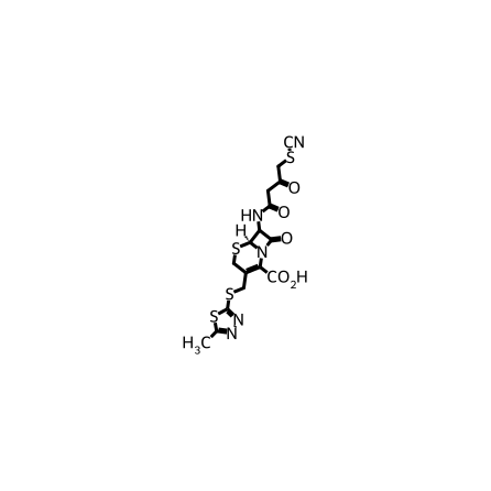 Cc1nnc(SCC2=C(C(=O)O)N3C(=O)C(NC(=O)CC(=O)CSC#N)[C@@H]3SC2)s1